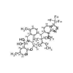 COC(=O)C(C)(C)C(c1ccc(C)c(CN2CC3(CC3)Oc3ncc(C)cc3S2(O)O)c1)c1ccn2c(C(F)(F)F)nnc2c1C